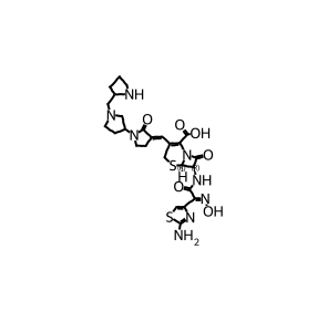 Nc1nc(C(=NO)C(=O)N[C@@H]2C(=O)N3C(C(=O)O)=C(C=C4CCN(C5CCN(CC6CCCN6)C5)C4=O)CS[C@H]23)cs1